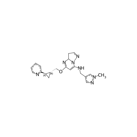 Cn1cc(CNC2=CC(OC[C@@H]3C[C@H]3c3ccccn3)=NC3CC=NN23)cn1